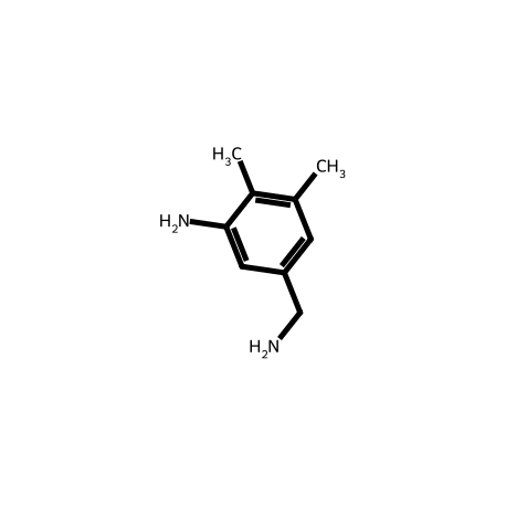 Cc1cc(CN)cc(N)c1C